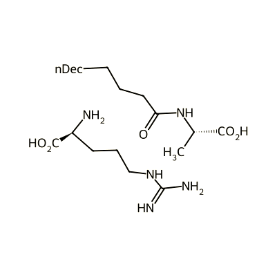 CCCCCCCCCCCCCC(=O)N[C@@H](C)C(=O)O.N=C(N)NCCC[C@H](N)C(=O)O